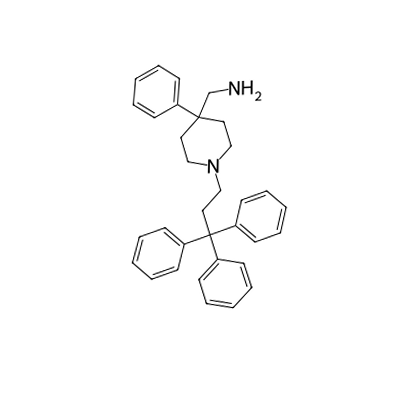 NCC1(c2ccccc2)CCN(CCC(c2ccccc2)(c2ccccc2)c2ccccc2)CC1